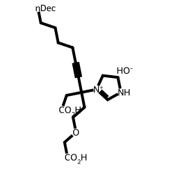 CCCCCCCCCCCCCCC#CC(CCOCC(=O)O)(CC(=O)O)[N+]1=CNCC1.[OH-]